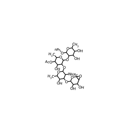 CCCOC1OC(C)C(O)C(O)C1OC1OC(C)C(OC(C)=O)C(O)C1OC1OC(C)C(O)C(OC2OC3OC3C(O)C2O)C1NC(C)=O